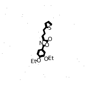 CCOc1ccc(C2=N/C(=C/CCc3cccs3)C(=O)O2)cc1OCC